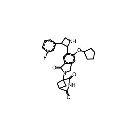 O=C1NC(=O)C2(N3Cc4cc(OC5CCCC5)c(C5NCC5c5cccc(F)c5)cc4C3=O)CC1C2